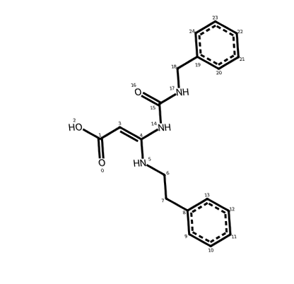 O=C(O)/C=C(\NCCc1ccccc1)NC(=O)NCc1ccccc1